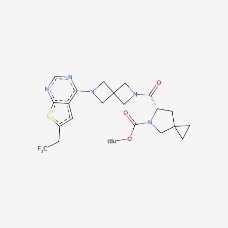 CC(C)(C)OC(=O)N1CC2(CC2)C[C@H]1C(=O)N1CC2(C1)CN(c1ncnc3sc(CC(F)(F)F)cc13)C2